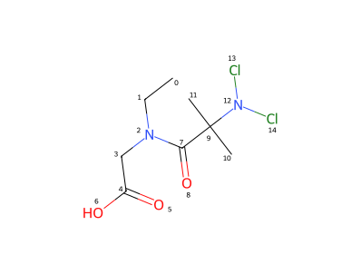 CCN(CC(=O)O)C(=O)C(C)(C)N(Cl)Cl